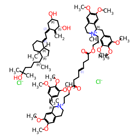 C=C1/C(=C\C=C2/CCC[C@]3(C)[C@@H]([C@H](C)CCCC(C)(C)O)CC[C@@H]23)C[C@@H](O)C[C@@H]1O.COc1cc2c(cc1OC)[C@@H](Cc1cc(OC)c(OC)c(OC)c1)[N+](C)(CCCOC(=O)CC/C=C/CCC(=O)OCCC[N+]1(C)CCc3cc(OC)c(OC)cc3[C@H]1Cc1cc(OC)c(OC)c(OC)c1)CC2.[Cl-].[Cl-]